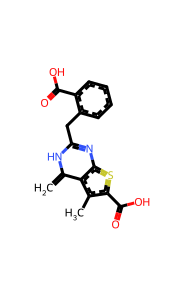 C=C1NC(Cc2ccccc2C(=O)O)=Nc2sc(C(=O)O)c(C)c21